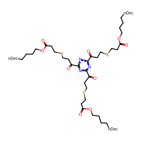 CCCCCCCCCCCCCCOC(=O)CCSCCC(=O)c1nc(C(=O)CCSCCC(=O)OCCCCCCCCCCCCCC)nc(C(=O)CCSCCC(=O)OCCCCCCCCCCCCCC)n1